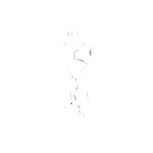 Cc1ccc(OC(=O)C23C=C(F)C(C)(CC2)CC3)c(F)c1F